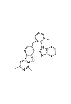 Cc1cc2c(oc3c(-c4nc5ccccc5n4-c4c(C)cccc4C)c(C)ccc32)c(C)n1